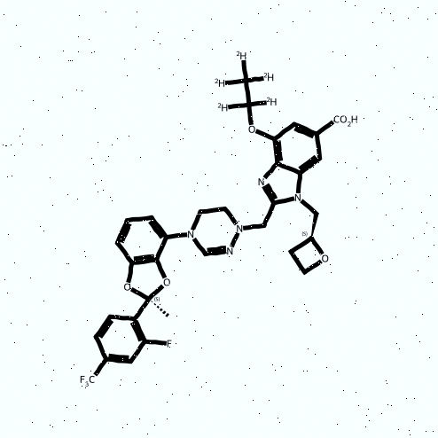 [2H]C([2H])([2H])C([2H])([2H])Oc1cc(C(=O)O)cc2c1nc(CN1CCN(c3cccc4c3O[C@@](C)(c3ccc(C(F)(F)F)cc3F)O4)C=N1)n2C[C@@H]1CCO1